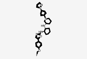 FCOc1ccc(-c2cnc(N[C@@H]3CCCC[C@H]3N[C@H]3CCCN(c4ccc(-n5cccn5)cc4)C3)o2)cc1